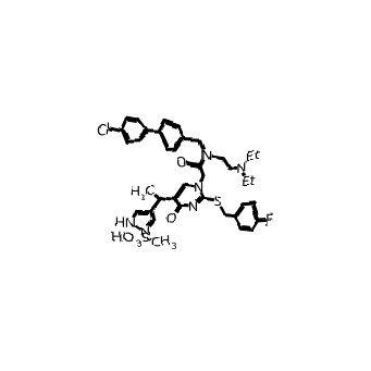 CCN(CC)CCN(Cc1ccc(-c2ccc(Cl)cc2)cc1)C(=O)Cn1cc(C(C)c2cn[nH]c2)c(=O)nc1SCc1ccc(F)cc1.CS(=O)(=O)O